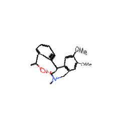 COc1cc2c(cc1OC)C(c1ccccc1C(C)O)CN(C)C2